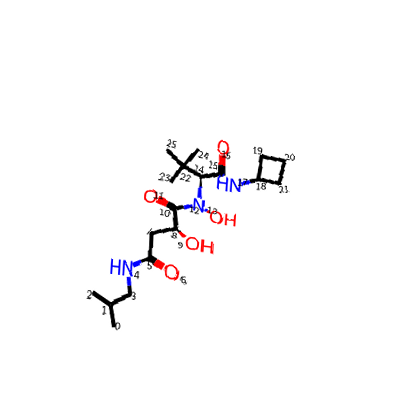 CC(C)CNC(=O)C[C@H](O)C(=O)N(O)[C@H](C(=O)NC1CCC1)C(C)(C)C